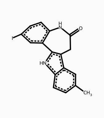 Cc1ccc2[nH]c3c(c2c1)CC(=O)Nc1ccc(I)cc1-3